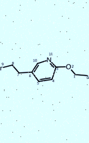 CCOc1ccc(CCBr)cn1